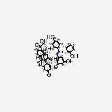 C[C@@H]1C[C@H]2[C@@H]3CCC4=CC(=O)C=C[C@]4(C)[C@@]3(F)[C@@H](O)C[C@]2(C)[C@@]1(O)C(=O)CO.Oc1ccc(/C=C/c2cc(O)cc(O)c2)cc1.Oc1ccccc1